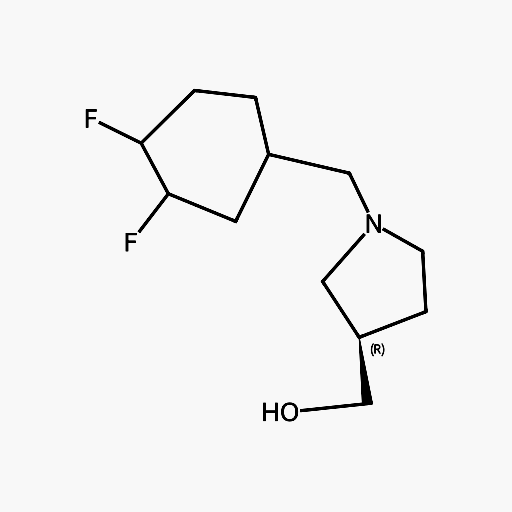 OC[C@@H]1CCN(CC2CCC(F)C(F)C2)C1